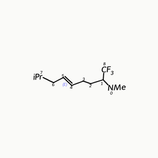 CNC(CC/C=C/CC(C)C)C(F)(F)F